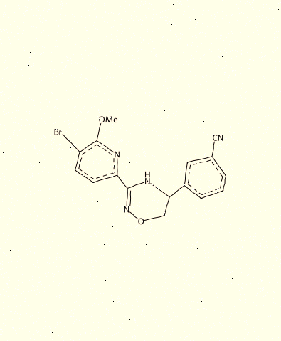 COc1nc(C2=NOCC(c3cccc(C#N)c3)N2)ccc1Br